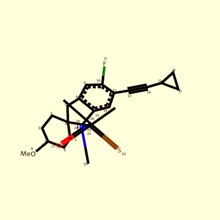 COC1CCC2(CC1)Cc1cc(F)c(C#CC3CC3)cc1C21NC(=S)N(C)C1=O